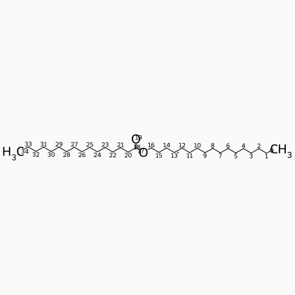 CCCCCCCCCCCCC[CH]CCCOC(=O)CCCCCCCCCCCCCCC